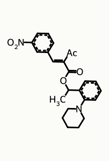 CC(=O)/C(=C\c1cccc([N+](=O)[O-])c1)C(=O)OC(C)c1ccccc1N1CCCCC1